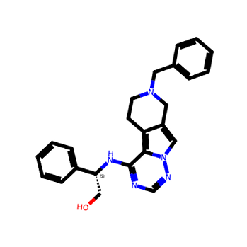 OC[C@@H](Nc1ncnn2cc3c(c12)CCN(Cc1ccccc1)C3)c1ccccc1